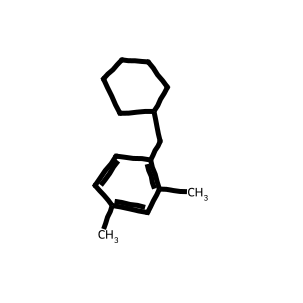 Cc1ccc(CC2CCCCC2)c(C)c1